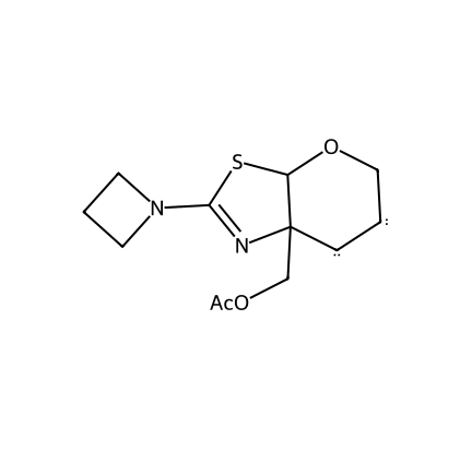 CC(=O)OCC12[C][C]COC1SC(N1CCC1)=N2